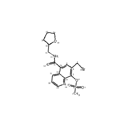 CS(=O)(=O)Oc1c(CBr)cc(C(=O)NCC2CCCO2)c2cccnc12